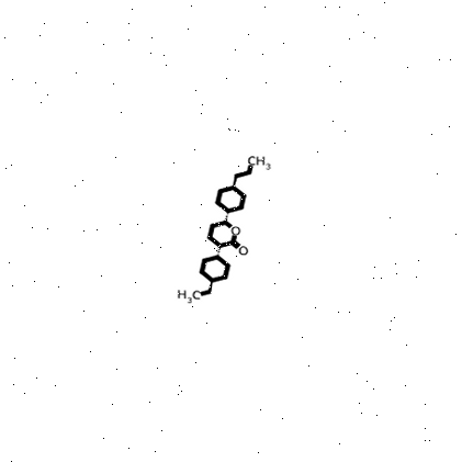 CCC[C@H]1CC[C@H](C2CCC([C@H]3CC[C@H](CC)CC3)C(=O)O2)CC1